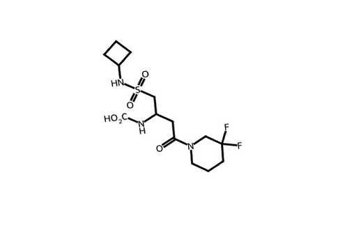 O=C(O)NC(CC(=O)N1CCCC(F)(F)C1)CS(=O)(=O)NC1CCC1